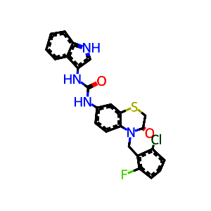 O=C(Nc1ccc2c(c1)SCC(=O)N2Cc1c(F)cccc1Cl)Nc1c[nH]c2ccccc12